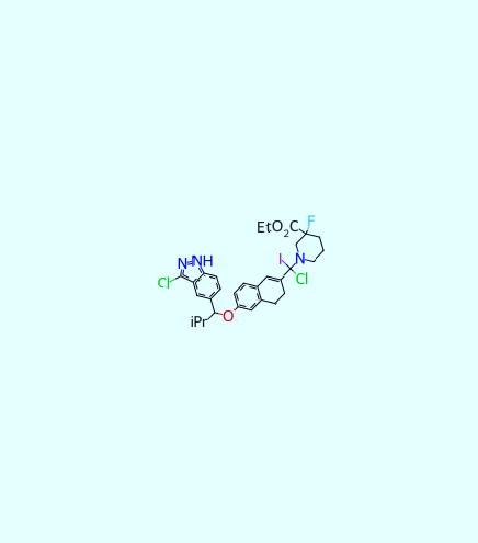 CCOC(=O)C1(F)CCCN(C(Cl)(I)C2=Cc3ccc(OC(c4ccc5[nH]nc(Cl)c5c4)C(C)C)cc3CC2)C1